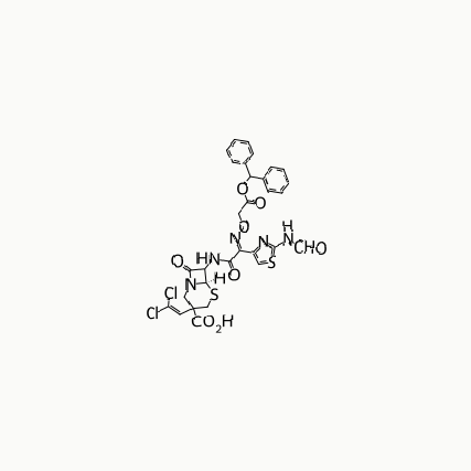 O=CNc1nc(C(=NOCC(=O)OC(c2ccccc2)c2ccccc2)C(=O)NC2C(=O)N3CC(C=C(Cl)Cl)(C(=O)O)CS[C@H]23)cs1